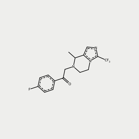 CC1c2cnc(C(F)(F)F)n2CCN1CC(=O)c1ccc(F)cc1